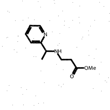 COC(=O)CCNC(C)c1ccccn1